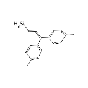 Cc1ccc(C(=CC[SiH3])c2ccc(C)cc2)cc1